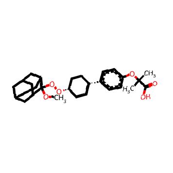 COC1(OO[C@H]2CC[C@@H](c3ccc(OC(C)(C)C(=O)O)cc3)CC2)C2CC3CC(C2)CC1C3